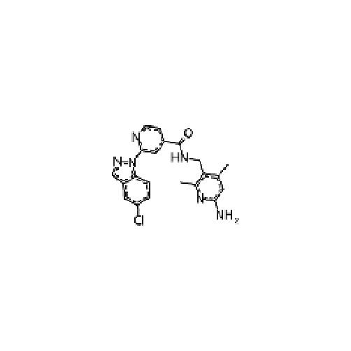 Cc1cc(N)nc(C)c1CNC(=O)c1ccnc(-n2ncc3cc(Cl)ccc32)c1